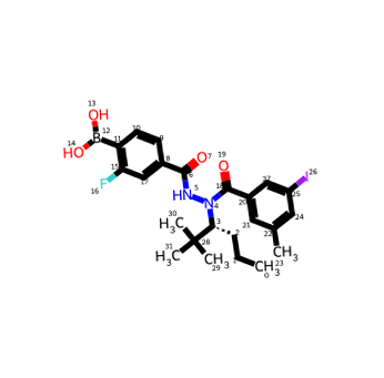 CCC[C@@H](N(NC(=O)c1ccc(B(O)O)c(F)c1)C(=O)c1cc(C)cc(I)c1)C(C)(C)C